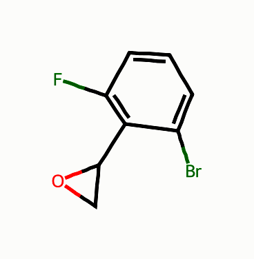 Fc1cccc(Br)c1C1CO1